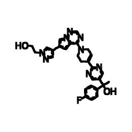 CC(O)(c1ccc(F)cc1)c1cnc(C2=CCN(c3ncnn4cc(-c5cnn(CCO)c5)cc34)CC2)nc1